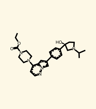 CCOC(=O)N1CCN(c2ccnn3cc(-c4ccc([C@]5(O)CCN(C(C)C)C5)cc4)cc23)CC1